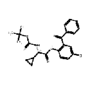 CC(C)(C)OC(=O)N[C@H](C(=O)Nc1ccc(Cl)cc1C(=O)c1ccccc1)C1CC1